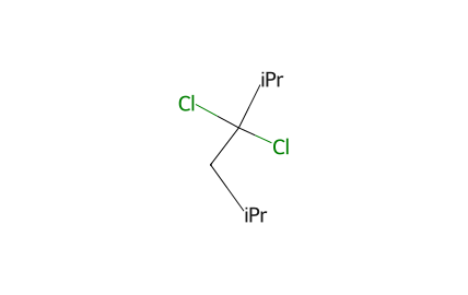 CC(C)CC(Cl)(Cl)C(C)C